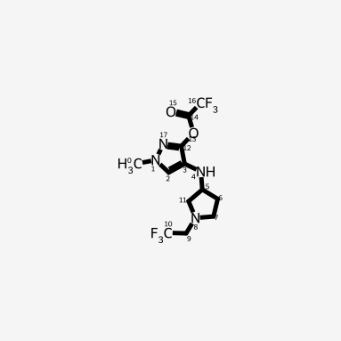 Cn1cc(NC2CCN(CC(F)(F)F)C2)c(OC(=O)C(F)(F)F)n1